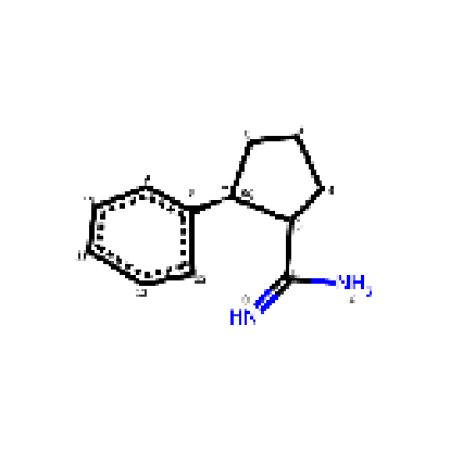 N=C(N)C1CCC[C@@H]1c1ccccc1